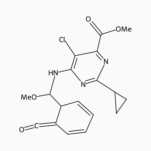 COC(=O)c1nc(C2CC2)nc(NC(OC)C2C=CC=CC2=C=O)c1Cl